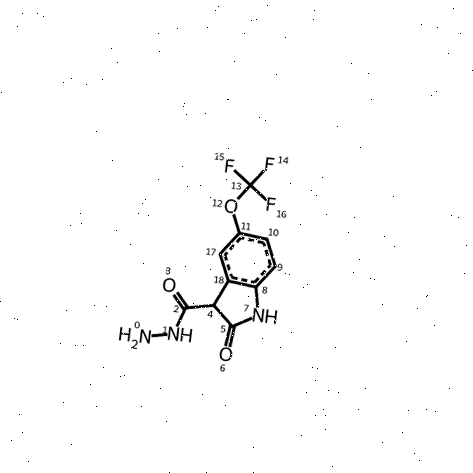 NNC(=O)C1C(=O)Nc2ccc(OC(F)(F)F)cc21